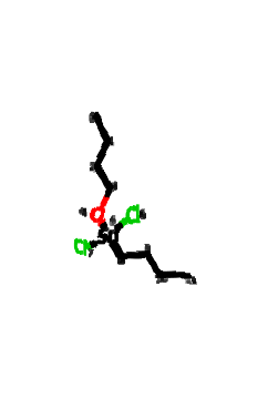 CCCC[O][Sn]([Cl])([Cl])[CH2]CCC